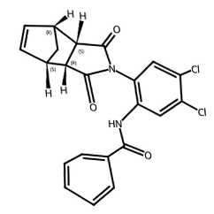 O=C(Nc1cc(Cl)c(Cl)cc1N1C(=O)[C@@H]2[C@H](C1=O)[C@@H]1C=C[C@H]2C1)c1ccccc1